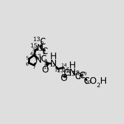 [13CH3][15N]([13CH3])CC1CCCN1[13CH2]C(=O)NCC[13C](=O)[15NH][13CH2][13CH2][13C](=O)O